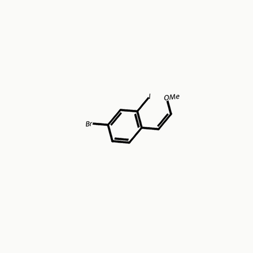 CO/C=C\c1ccc(Br)cc1I